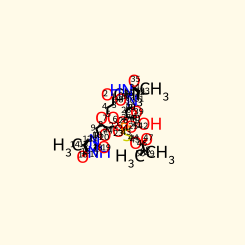 CC(=O)CCC(=O)OC1C[C@H](n2cc(C)c(=O)[nH]c2=O)O[C@@H]1COP(=O)(OC1C[C@H](n2cc(C)c(=O)[nH]c2=O)O[C@@H]1CO)SCOC(=O)C(C)C